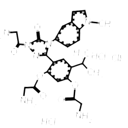 CC(C)c1cc(-c2nn(C(=O)CN)c(=O)n2-c2ccc3c(ccn3C)c2)c(OC(=O)CN)cc1OC(=O)CN.Cl.Cl.Cl